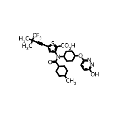 CC1CCC(C(=O)N(c2cc(C#CC(C)(C)C(F)(F)F)sc2C(=O)O)C2CCC(Oc3ccc(O)nn3)CC2)CC1